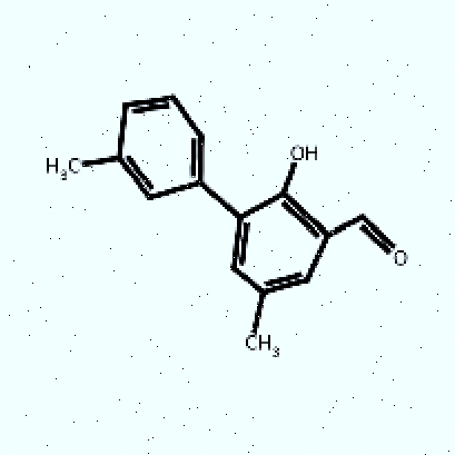 Cc1cccc(-c2cc(C)cc(C=O)c2O)c1